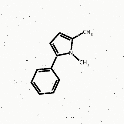 Cc1ccc(-c2ccccc2)n1C